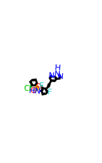 O=S(=O)(Nc1ccc(F)c(C#Cc2cnc3[nH]ncc3c2)c1F)c1ccccc1Cl